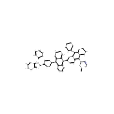 C=CCC(/C=C\C)c1c2ccccc2c(-c2ccccc2)c2cc(-c3c4ccccc4c(-c4ccc(-c5nc6c(n5-c5ccccc5)C=CCC6)cc4)c4ccccc34)ccc12